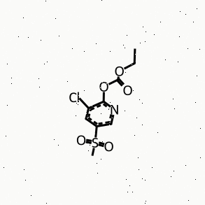 CCOC(=O)Oc1ncc(S(C)(=O)=O)cc1Cl